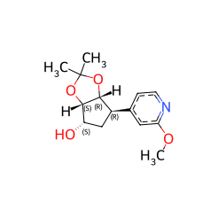 COc1cc([C@H]2C[C@H](O)[C@@H]3OC(C)(C)O[C@@H]32)ccn1